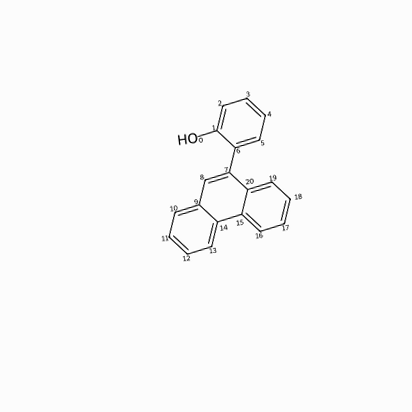 Oc1ccccc1-c1cc2ccccc2c2ccccc12